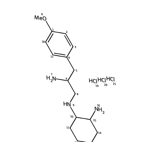 COc1ccc(CC(N)CNC2CCCCC2N)cc1.Cl.Cl.Cl